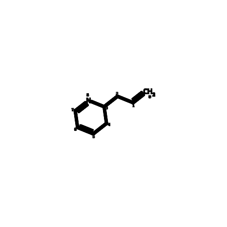 C=C[CH]C1CC=CC=N1